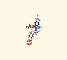 CCN(CC)C(=O)Oc1c(-c2ccc(CN3CCOCC3)cc2)nn(C)c1-c1nc2cc3c(cc2[nH]1)CNC3